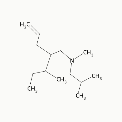 C=CCC(CN(C)CC(C)C)C(C)CC